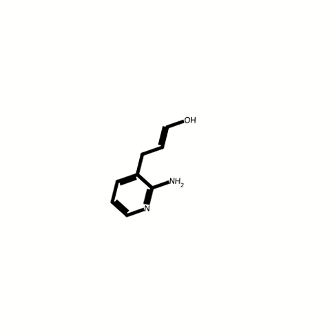 Nc1ncccc1CC=CO